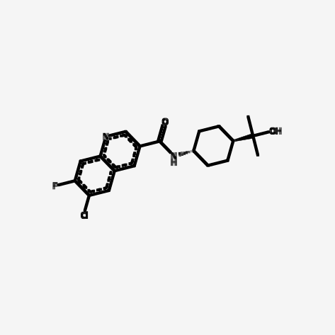 CC(C)(O)[C@H]1CC[C@H](NC(=O)c2cnc3cc(F)c(Cl)cc3c2)CC1